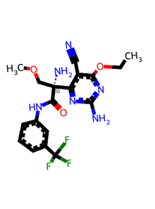 CCOc1nc(N)nc([C@](N)(COC)C(=O)Nc2cccc(C(F)(F)F)c2)c1C#N